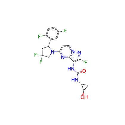 O=C(Nc1c(F)nn2ccc(N3CC(F)(F)CC3c3cc(F)ccc3F)nc12)N[C@@H]1C[C@H]1O